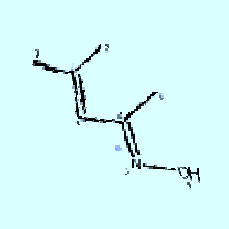 CC(C)=C/C(C)=N/O